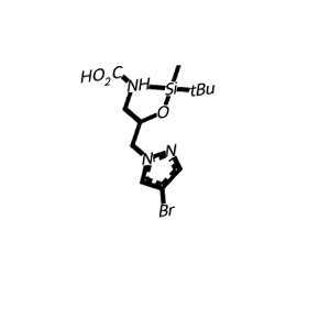 CC(C)(C)[Si](C)(C)OC(CNC(=O)O)Cn1cc(Br)cn1